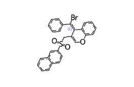 O=S(=O)(CC1=COc2ccccc2/C1=C(\Br)c1ccccc1)c1ccc2ccccc2c1